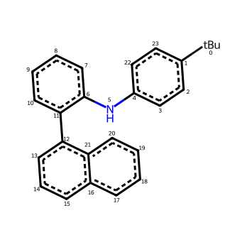 CC(C)(C)c1ccc(Nc2ccccc2-c2cccc3ccccc23)cc1